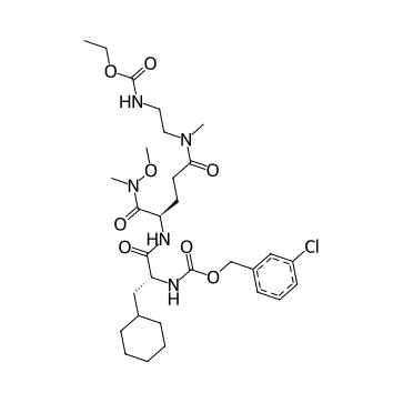 CCOC(=O)NCCN(C)C(=O)CC[C@@H](NC(=O)[C@@H](CC1CCCCC1)NC(=O)OCc1cccc(Cl)c1)C(=O)N(C)OC